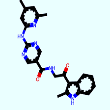 Cc1cc(C)nc(Nc2ncc(C(=O)NCC(=O)c3c(C)[nH]c4ccccc34)cn2)c1